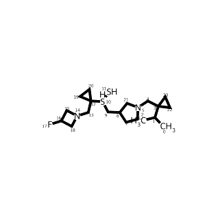 CC(C)C1(CN2CCC(C[SH](S)C3(CN4CC(F)C4)CC3)C2)CC1